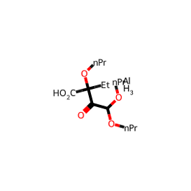 CCCOC(OCCC)C(=O)C(CC)(OCCC)C(=O)O.[AlH3]